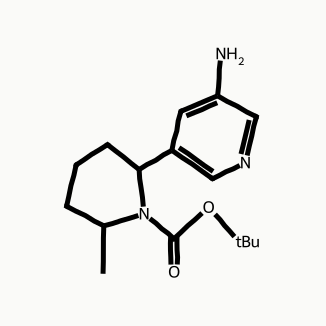 CC1CCCC(c2cncc(N)c2)N1C(=O)OC(C)(C)C